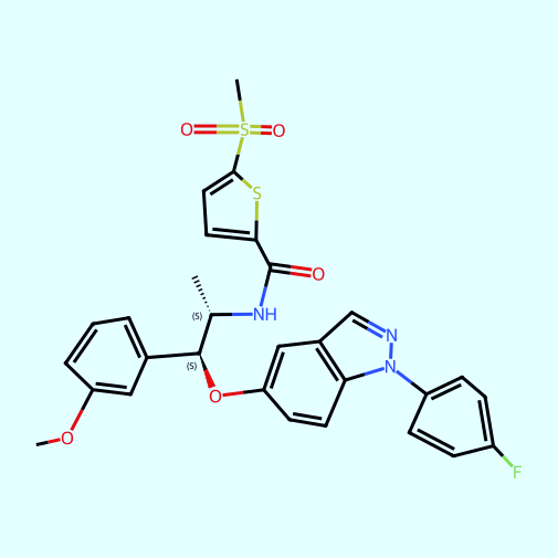 COc1cccc([C@H](Oc2ccc3c(cnn3-c3ccc(F)cc3)c2)[C@H](C)NC(=O)c2ccc(S(C)(=O)=O)s2)c1